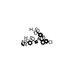 COC(=O)c1ccc2c(c1)N(C[C@@H]1CC[C@H]1C(OC)[C@H]1CCC[C@H](Sc3ncccn3)C1)CC1(CCCc3cc(Cl)ccc31)CO2